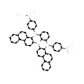 CN(C)c1ccc(N2c3cccc4c3B(c3ccc5c(ccc6ccccc65)c32)c2ccc3c(ccc5ccccc53)c2N4c2ccc(N(C)C)cc2)cc1